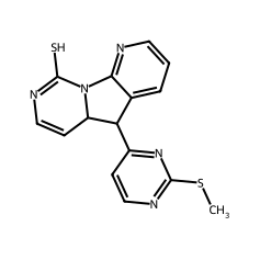 CSc1nccc(C2c3cccnc3N3C(S)=NC=CC23)n1